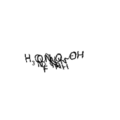 COc1ncc(F)cc1C1CCCN1c1ccn2ncc(C(=O)NCCCO)c2n1